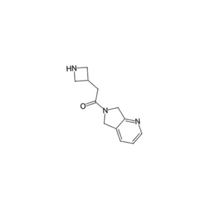 O=C(CC1CNC1)N1Cc2cccnc2C1